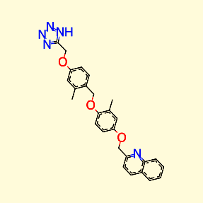 Cc1cc(OCc2nnn[nH]2)ccc1COc1ccc(OCc2ccc3ccccc3n2)cc1C